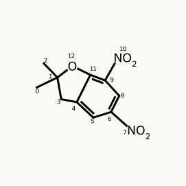 CC1(C)Cc2cc([N+](=O)[O-])cc([N+](=O)[O-])c2O1